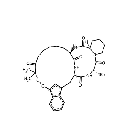 CCC(C)[C@@H]1NC(=O)[C@@H]2Cc3cn(c4ccccc34)OOC(C)(C)C(=O)CCCCC[C@H](NC(=O)[C@H]3CCCCN3C1=O)C(=O)N2